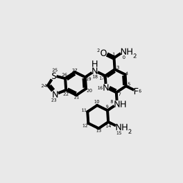 NC(=O)c1cc(F)c(NC2CCCCC2N)nc1Nc1ccc2ncsc2c1